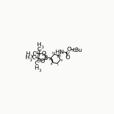 CC(C)(C)OC(=O)N[C@@H]1CCC=C(B2OC(C)(C)C(C)(C)O2)C1